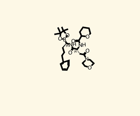 CC1(C)OB([C@H](CCCc2ccccc2)NC(=O)[C@@H](CC(=O)N2CCOCC2)NC(=O)C2CCCCO2)OC1(C)C